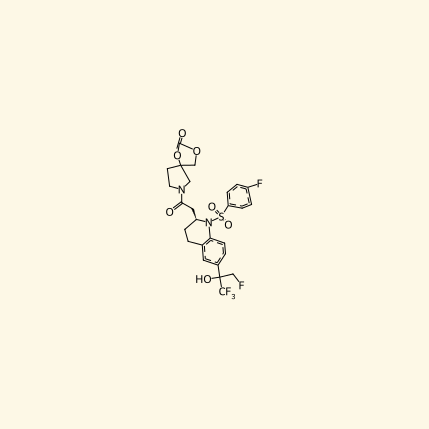 O=C1OCC2(CCN(C(=O)C[C@@H]3CCc4cc(C(O)(CF)C(F)(F)F)ccc4N3S(=O)(=O)c3ccc(F)cc3)C2)O1